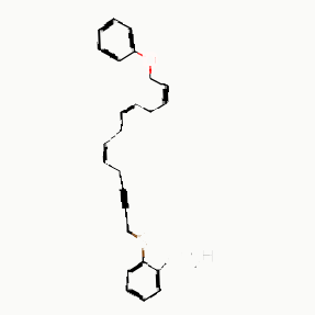 O=C(O)c1ccccc1SCC#CC/C=C\C/C=C\C/C=C\COc1ccccc1